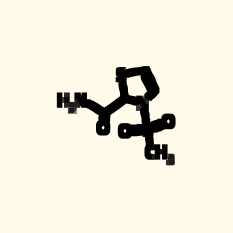 CS(=O)(=O)N1C=CSC1C(N)=O